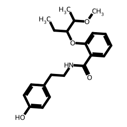 CCC(Oc1ccccc1C(=O)NCCc1ccc(O)cc1)C(C)OC